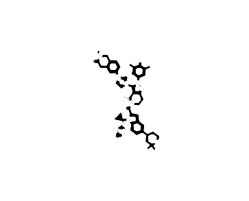 Cc1cc(-n2nc3c(c2-n2ccn(-c4ccc5c(c4)CC(=O)N(C)C5)c2=O)[C@H](C)N(C(=O)c2cc4cc(C5CCOC(C)(C)C5)ccc4n2[C@@]2(c4noc(=O)[nH]4)C[C@@H]2C)CC3)cc(C)c1F